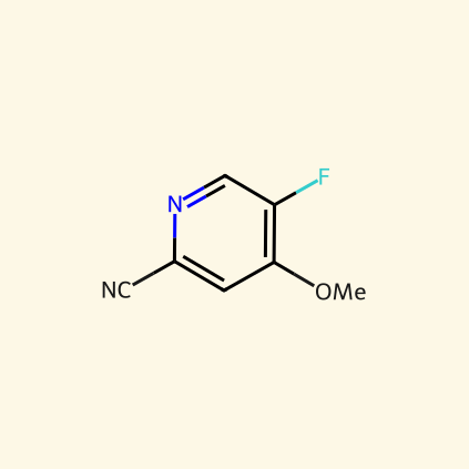 COc1cc(C#N)ncc1F